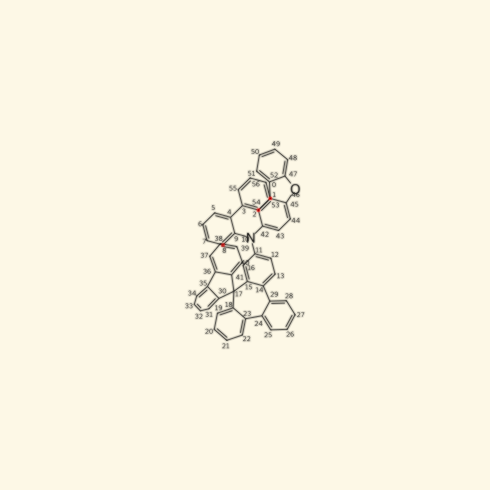 c1ccc(-c2ccccc2N(c2ccc3c(c2)C2(c4ccccc4-c4ccccc4-3)c3ccccc3-c3ccccc32)c2ccc3oc4ccccc4c3c2)cc1